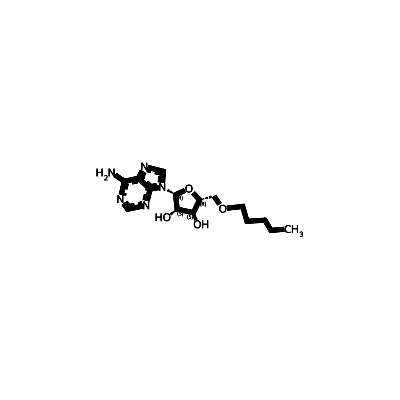 CCCCCOC[C@H]1O[C@@H](n2cnc3c(N)ncnc32)[C@@H](O)[C@@H]1O